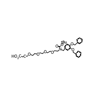 CC(C)(C)OC(=O)N(CCOCCOCCOCCOCCCC(=O)O)Cc1ccc(OCc2ccccc2)c(OCc2ccccc2)c1